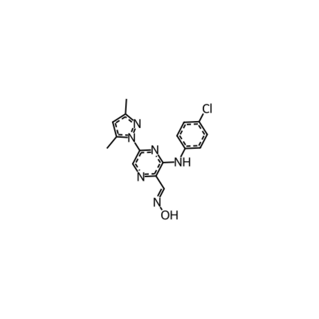 Cc1cc(C)n(-c2cnc(/C=N/O)c(Nc3ccc(Cl)cc3)n2)n1